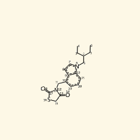 CCC(CC)Cn1ccc2c(CN3C(=O)CSC3=O)cccc21